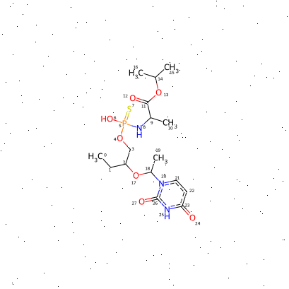 CCC(COP(O)(=S)NC(C)C(=O)OC(C)C)OC(C)n1ccc(=O)[nH]c1=O